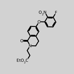 CCOC(=O)CCN1CCc2cc(Oc3cccc(F)c3[N+](=O)[O-])ccc2C1=O